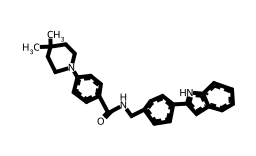 CC1(C)CCN(c2ccc(C(=O)NCc3ccc(-c4cc5ccccc5[nH]4)cc3)cc2)CC1